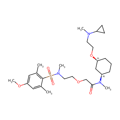 COc1cc(C)c(S(=O)(=O)N(C)CCOCC(=O)N(C)[C@@H]2CCC[C@H](OCCN(C)C3CC3)C2)c(C)c1